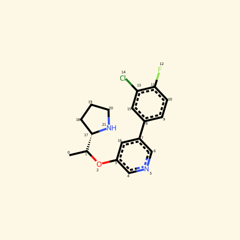 CC(Oc1cncc(-c2ccc(F)c(Cl)c2)c1)[C@@H]1CCCN1